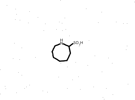 O=S(=O)(O)C1CCCCCCN1